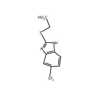 O=C(O)CSc1nc2cc(C(F)(F)F)ccc2[nH]1